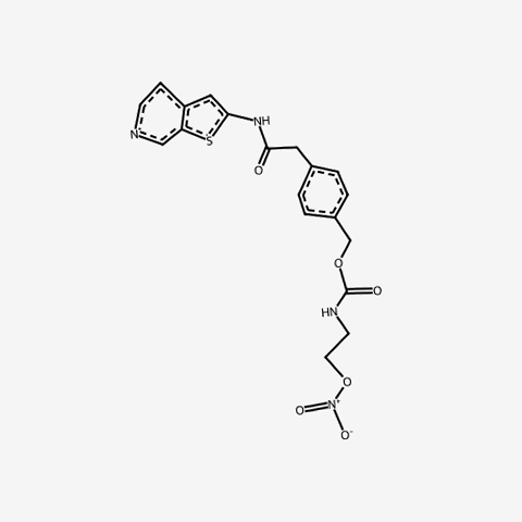 O=C(Cc1ccc(COC(=O)NCCO[N+](=O)[O-])cc1)Nc1cc2ccncc2s1